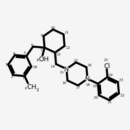 Cc1cccc(CC2(O)CCCCC2CN2CCN(c3ccccc3Cl)CC2)c1